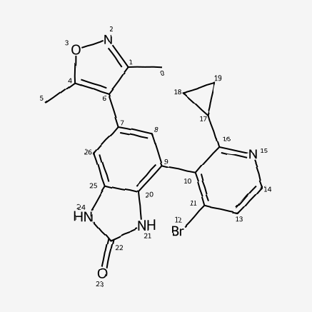 Cc1noc(C)c1-c1cc(-c2c(Br)ccnc2C2CC2)c2[nH]c(=O)[nH]c2c1